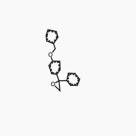 c1ccc(COc2ccc(C3(c4ccccc4)CO3)cc2)cc1